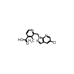 Cc1c(C(=O)O)ccnc1Cn1ncc2cc(Cl)cnc21